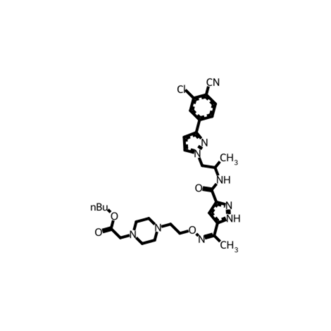 CCCCOC(=O)CN1CCN(CCON=C(C)c2cc(C(=O)NC(C)Cn3ccc(-c4ccc(C#N)c(Cl)c4)n3)n[nH]2)CC1